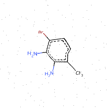 Nc1c(Br)ccc(C(F)(F)F)c1N